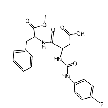 COC(=O)C(Cc1ccccc1)NC(=O)C(CC(=O)O)NC(=O)Nc1ccc(F)cc1